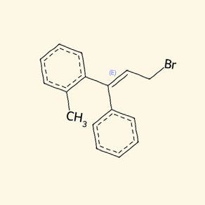 Cc1ccccc1/C(=C/CBr)c1ccccc1